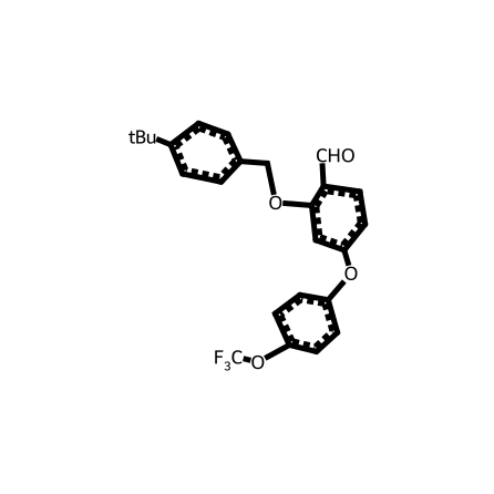 CC(C)(C)c1ccc(COc2cc(Oc3ccc(OC(F)(F)F)cc3)ccc2C=O)cc1